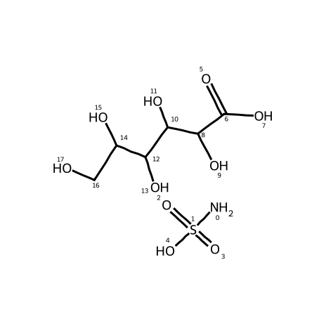 NS(=O)(=O)O.O=C(O)C(O)C(O)C(O)C(O)CO